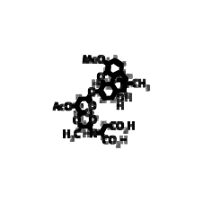 COc1ccc2c3c1O[C@@H]1C(OC(=O)C[C@H](OC(C)=O)C(=O)O[C@@H](C)C(=O)N[C@@H](CC(=O)O)C(=O)O)=CC[C@]4(O)[C@H](C2)N(C)CC[C@@]314